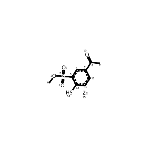 COS(=O)(=O)c1cc(C(C)=O)ccc1S.[Zn]